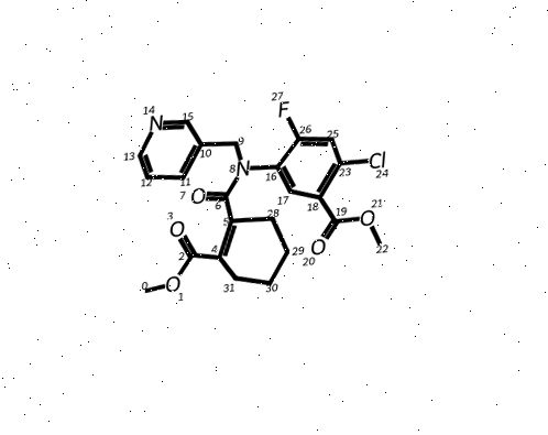 COC(=O)C1=C(C(=O)N(Cc2cccnc2)c2cc(C(=O)OC)c(Cl)cc2F)CCCC1